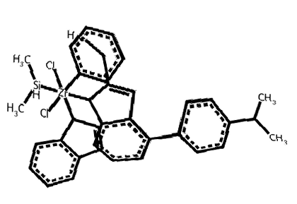 CCC1=Cc2c(-c3ccc(C(C)C)cc3)cccc2[CH]1[Zr]([Cl])([Cl])([c]1ccccc1)([CH]1C=Cc2ccccc21)[SiH](C)C